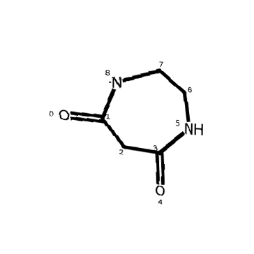 O=C1CC(=O)NCC[N]1